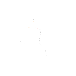 CCP(CC)CCCS(=O)(=O)O.[NaH]